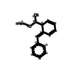 CCCCCCON(C#N)C1C=CC=CC1=Cc1ccccc1